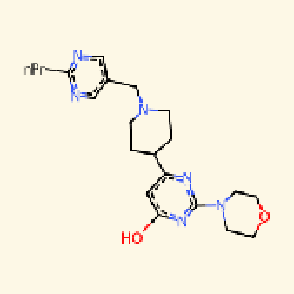 CCCc1ncc(CN2CCC(c3cc(O)nc(N4CCOCC4)n3)CC2)cn1